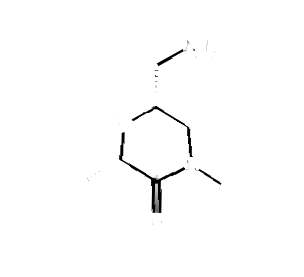 C[C@@H]1O[C@H](CN)CN(C)C1=O